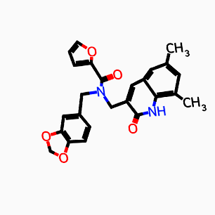 Cc1cc(C)c2[nH]c(=O)c(CN(Cc3ccc4c(c3)OCO4)C(=O)c3ccco3)cc2c1